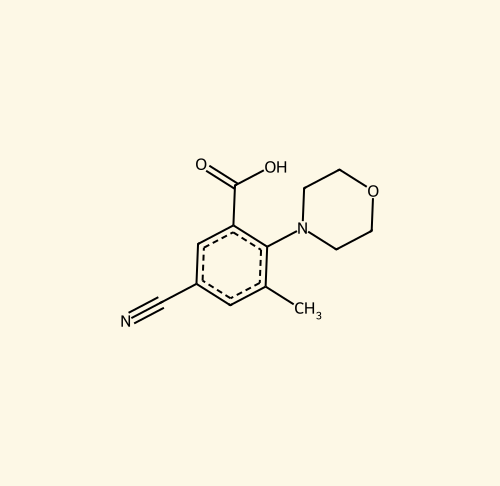 Cc1cc(C#N)cc(C(=O)O)c1N1CCOCC1